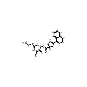 CC(C)(C)COC(=O)C[C@H](NC(=O)C1(C)CC(c2nccc3ccccc23)=NO1)C(=O)CF